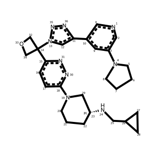 c1ncc(N2CCCC2)cc1-c1cn(C2(c3ccc(N4CCC[C@@H](NCC5CC5)C4)nn3)COC2)nn1